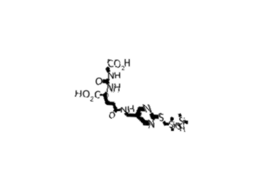 C[SiH](C)O[Si](C)(C)CSc1ncc(CNC(=O)CC[C@H](NC(=O)NCC(=O)O)C(=O)O)cn1